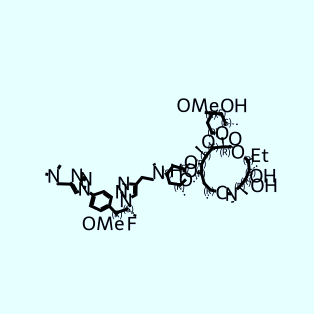 CC[C@H]1OC(=O)[C@H](C)[C@@H](O[C@H]2C[C@@](C)(OC)[C@@H](O)[C@H](C)O2)[C@H](C)[C@@H](O[C@H]2C[C@@H](N(C)CCc3cn([C@H](CF)[C@H](OC)c4ccc(-n5cc(CN(C)C)nn5)cc4)nn3)C[C@@H](C)O2)[C@](C)(O)C[C@@H](C)CN(C)[C@H](C)[C@@H](O)[C@]1(C)O